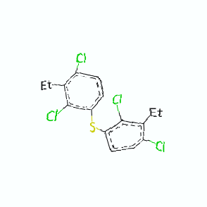 CCc1c(Cl)ccc(Sc2ccc(Cl)c(CC)c2Cl)c1Cl